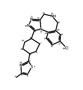 Cc1csc(C2CCC(c3nnc4n3-c3ccc(Cl)cc3CNC4)CC2)n1